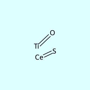 [O]=[Ti].[S]=[Ce]